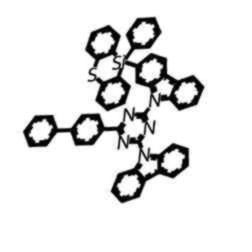 c1ccc(-c2ccc(-c3nc(-n4c5ccccc5c5ccccc54)nc(-n4c5ccccc5c5ccc([Si]6(c7ccccc7)c7ccccc7Sc7ccccc76)cc54)n3)cc2)cc1